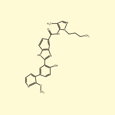 CCCCn1ncc(C)c1NC(=O)c1ccc2[nH]c(-c3cc(-c4cccnc4OC)ccc3O)nc2c1